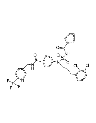 O=C(NCc1ccc(C(F)(F)F)nc1)c1ccc(N(CCCc2cccc(Cl)c2Cl)S(=O)(=O)NC(=O)c2ccccc2)cc1